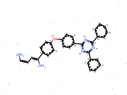 N/C=C\C=C(/N)c1ccc(Oc2ccc(-c3nc(-c4ccccc4)nc(-c4ccccc4)n3)cc2)cc1